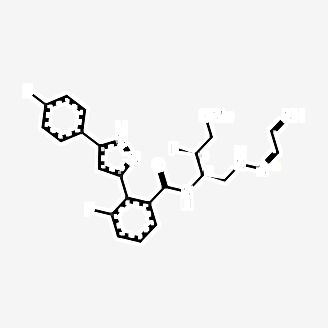 COC[C@H](F)[C@@H](CN/N=C\C=N)NC(=O)c1cccc(F)c1-c1cc(-c2ccc(F)cc2)[nH]n1